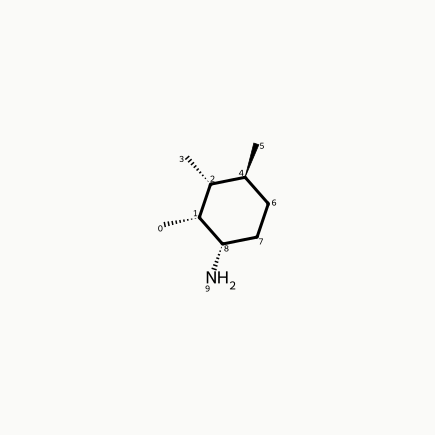 C[C@@H]1[C@H](C)[C@@H](C)CC[C@@H]1N